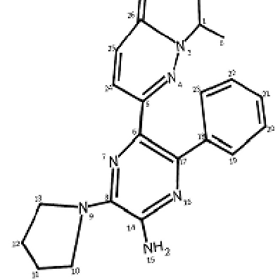 CC(C)n1nc(-c2nc(N3CCCC3)c(N)nc2-c2ccccc2)ccc1=O